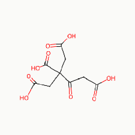 O=C(O)CC(=O)C(CC(=O)O)(CC(=O)O)C(=O)O